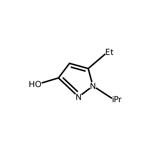 CCc1cc(O)nn1C(C)C